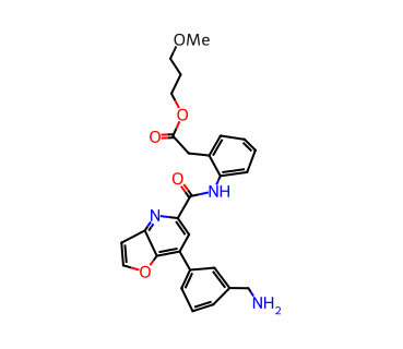 COCCCOC(=O)Cc1ccccc1NC(=O)c1cc(-c2cccc(CN)c2)c2occc2n1